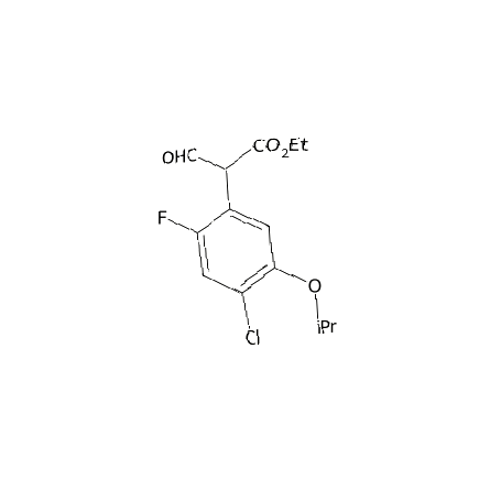 CCOC(=O)C(C=O)c1cc(OC(C)C)c(Cl)cc1F